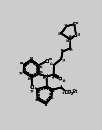 CCOC(=O)Cc1ccccc1N(C(=O)CCCC[C@H]1CCSS1)c1c(Cl)cccc1Cl